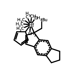 CC(C)(C)C[C]1([Hf]([CH3])([CH3])([CH3])([CH3])([CH3])([CH3])([CH3])[CH]2C=CC=C2)C=Cc2cc3c(cc21)CCC3